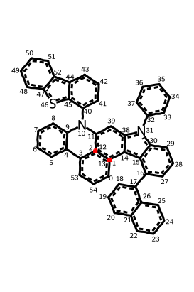 c1ccc(-c2ccccc2N(c2ccc3c4c(-c5cccc6ccccc56)cccc4n(-c4ccccc4)c3c2)c2cccc3c2sc2ccccc23)cc1